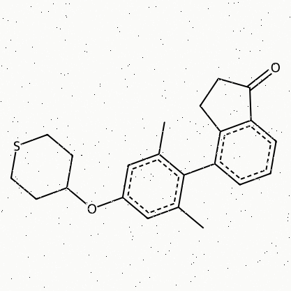 Cc1cc(OC2CCSCC2)cc(C)c1-c1cccc2c1CCC2=O